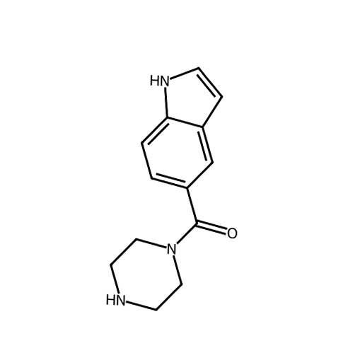 O=C(c1ccc2[nH]ccc2c1)N1CCNCC1